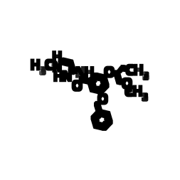 CC[C@@H](COC)Oc1cc(OCc2ccccc2)cc(C(=O)NC(=N)/C=C\NC)c1